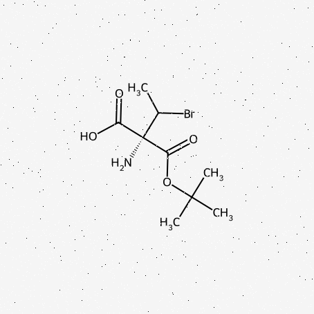 CC(Br)[C@](N)(C(=O)O)C(=O)OC(C)(C)C